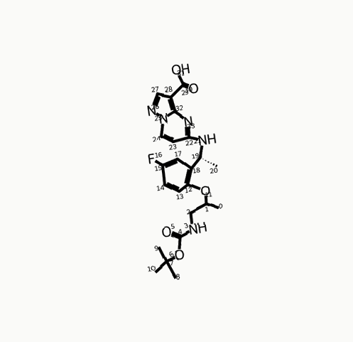 CC(CNC(=O)OC(C)(C)C)Oc1ccc(F)cc1[C@@H](C)Nc1ccn2ncc(C(=O)O)c2n1